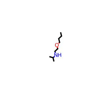 CCCCOCCNC(C)C